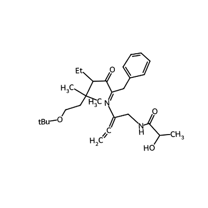 C=C=C(CNC(=O)C(C)O)/N=C(\Cc1ccccc1)C(=O)C(CC)C(C)(C)CCOC(C)(C)C